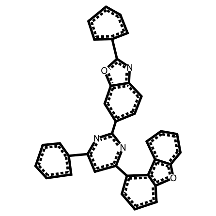 c1ccc(-c2cc(-c3cccc4oc5ccccc5c34)nc(-c3ccc4nc(-c5ccccc5)oc4c3)n2)cc1